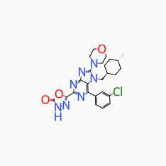 C[C@H]1CC[C@H](Cn2c(N3CCOCC3)nc3nc(-c4n[nH]c(=O)o4)nc(-c4cccc(Cl)c4)c32)CC1